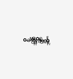 NC(CC(=O)S(=O)(=O)c1cccc(NC(=O)C(O)C(N)COCc2ccccc2)c1)Cc1cc(F)ccc1F